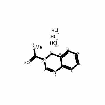 CNC(=O)N1C=Nc2ccccc2C1.Cl.Cl.Cl